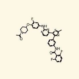 CC(=O)N1CCC(Oc2ccc(Nc3nccc(-c4sc(C)nc4-c4cccc(NC(=O)c5c(F)cccc5F)c4)n3)cc2F)CC1